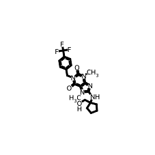 Cn1c(NC2(CO)CCCC2)nc2c1c(=O)n(Cc1ccc(C(F)(F)F)cc1)c(=O)n2C